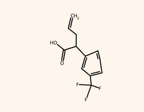 C=CCC(C(=O)O)c1cccc(C(F)(F)F)c1